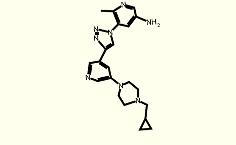 Cc1ncc(N)cc1-n1cc(-c2cncc(N3CCN(CC4CC4)CC3)c2)nn1